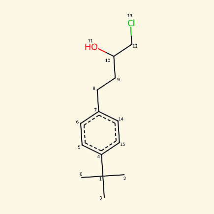 CC(C)(C)c1ccc(CCC(O)CCl)cc1